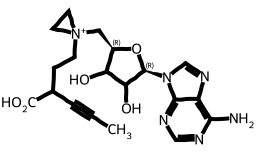 CC#CC(CC[N+]1(C[C@H]2O[C@@H](n3cnc4c(N)ncnc43)C(O)C2O)CC1)C(=O)O